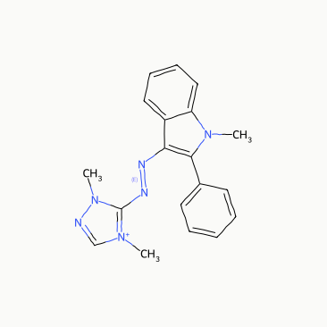 Cn1nc[n+](C)c1/N=N/c1c(-c2ccccc2)n(C)c2ccccc12